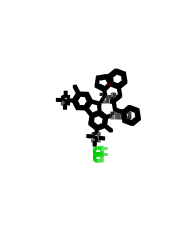 CCCCc1c(C)c([Si](C)(C)C)cc2c1[CH]([Zr+2]([C]1=CC=CC1)=[C](Cc1ccccc1)Cc1ccccc1)c1cc(C)c([Si](C)(C)C)cc1-2.[Cl-].[Cl-]